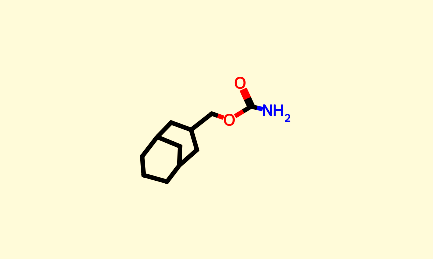 NC(=O)OCC1CC2CCCC(C2)C1